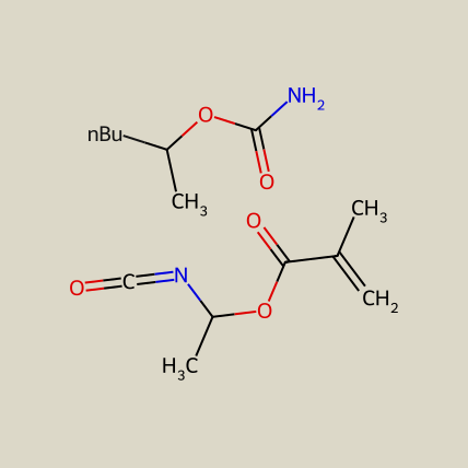 C=C(C)C(=O)OC(C)N=C=O.CCCCC(C)OC(N)=O